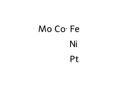 [Co].[Fe].[Mo].[Ni].[Pt]